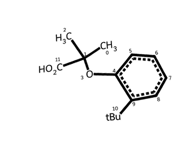 CC(C)(Oc1ccccc1C(C)(C)C)C(=O)O